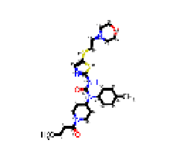 CCCC(=O)N1CCC(N(C(=O)Nc2ncc(SCCN3CCOCC3)s2)C2CCC(C)CC2)CC1